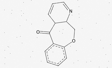 O=C1c2ccccc2OCC2N=CC=CC12